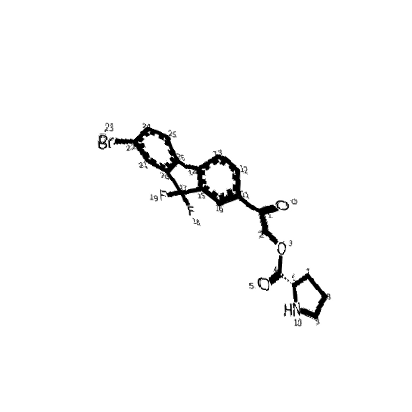 O=C(COC(=O)[C@@H]1CCCN1)c1ccc2c(c1)C(F)(F)c1cc(Br)ccc1-2